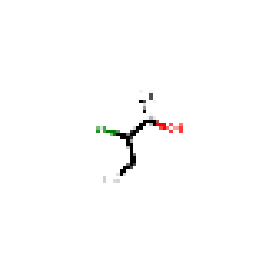 [CH2][C@H](O)C(Cl)CC